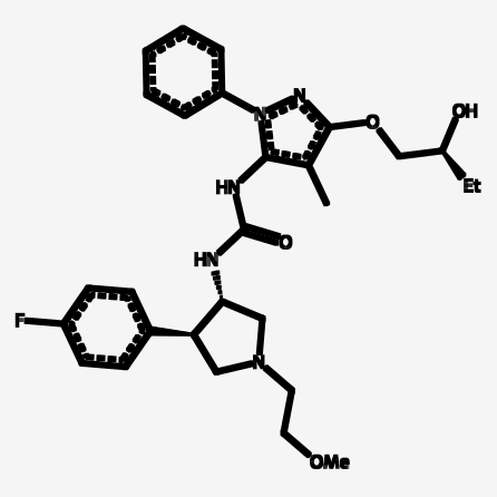 CC[C@H](O)COc1nn(-c2ccccc2)c(NC(=O)N[C@@H]2CN(CCOC)C[C@H]2c2ccc(F)cc2)c1C